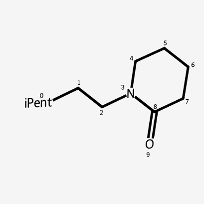 CCCC(C)CCN1CCCCC1=O